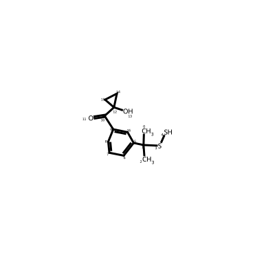 CC(C)(SS)c1cccc(C(=O)C2(O)CC2)c1